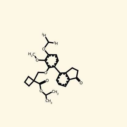 [2H]C([2H])Oc1ccc(-c2cccc3c2CCC3=O)c(OCC2(C(=O)OC(C)C)CCC2)c1OC